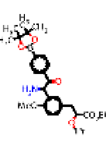 CCOC(=O)C(Cc1ccc(OC)c(C(N)C(=O)c2ccc(B3OC(C)(C)C(C)(C)O3)cc2)c1)OC(C)C